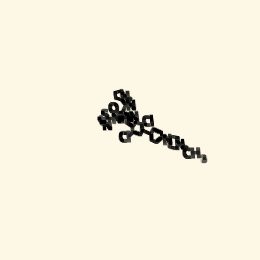 CCN1CCN(c2ccc(-c3cc(Cl)c4cn(C(C(=O)Nc5nccs5)c5ncn6c5CCC6)nc4c3Cl)cc2)CC1